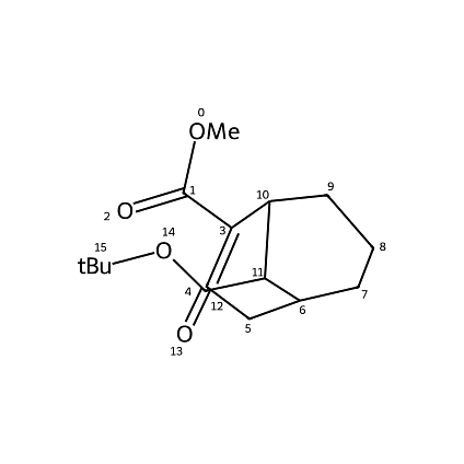 COC(=O)C1=CCC2CCCC1C2C(=O)OC(C)(C)C